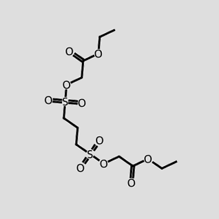 CCOC(=O)COS(=O)(=O)CCCS(=O)(=O)OCC(=O)OCC